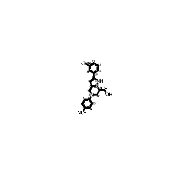 N#Cc1ccc(N2C=C3C=C(c4cccc(Cl)c4)NN3C(CO)C2)cc1